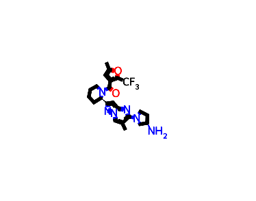 Cc1cc(C(=O)N2CCCC[C@H]2c2cc3nc(N4CC[C@H](N)C4)c(C)cn3n2)c(C(F)(F)F)o1